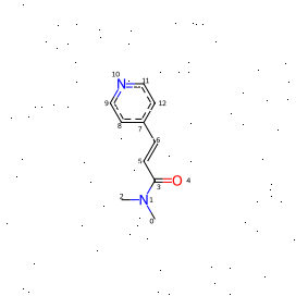 CN(C)C(=O)C=Cc1ccncc1